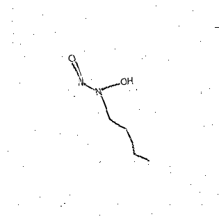 CCCCN(O)N=O